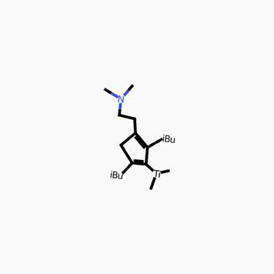 CCC(C)C1=[C]([Ti]([CH3])[CH3])C(C(C)CC)=C(CCN(C)C)C1